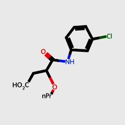 CCCOC(CC(=O)O)C(=O)Nc1cccc(Cl)c1